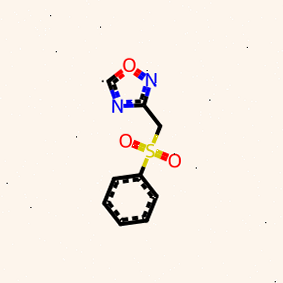 O=S(=O)(Cc1n[c]on1)c1ccccc1